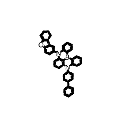 c1ccc(-c2ccc(N3c4ccccc4B4c5ccccc5N(c5ccc6oc7ccccc7c6c5)c5cccc3c54)cc2)cc1